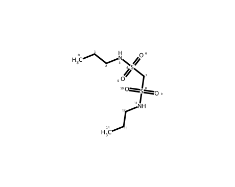 CCCNS(=O)(=O)CS(=O)(=O)NCCC